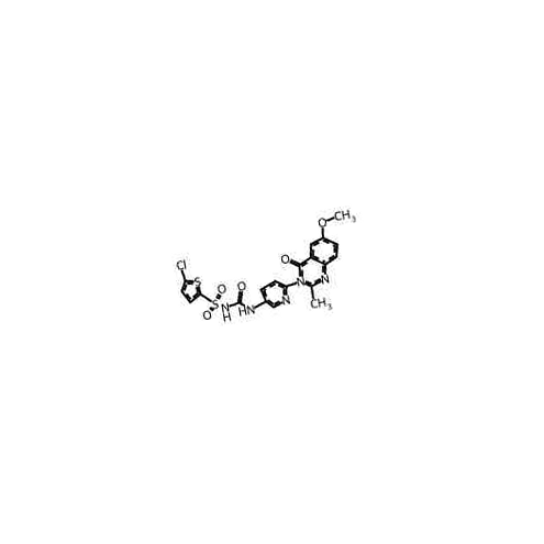 COc1ccc2nc(C)n(-c3ccc(NC(=O)NS(=O)(=O)c4ccc(Cl)s4)cn3)c(=O)c2c1